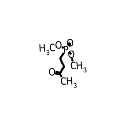 COP(=O)(CCC(C)=O)OC